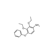 CCOc1c([SiH3])ccc(Oc2ccccc2)c1OCC